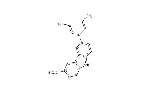 CC=CN(C=CC)c1ccc2[nH]c3cnc(C(=O)OCC)cc3c2c1